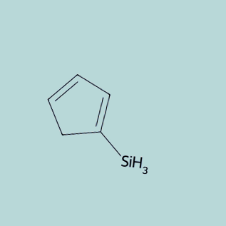 [SiH3]C1=CC=CC1